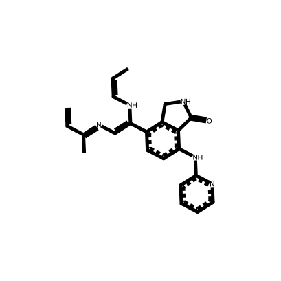 C=C/C(C)=N/C=C(\N/C=C\C)c1ccc(Nc2ccccn2)c2c1CNC2=O